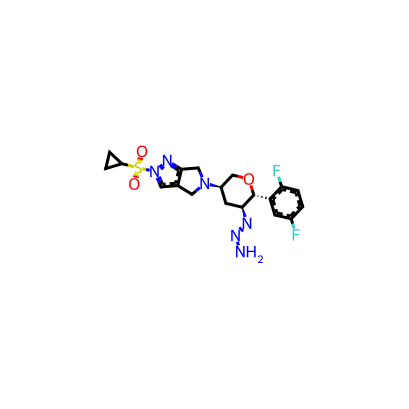 NN=N[C@H]1C[C@@H](N2Cc3cn(S(=O)(=O)C4CC4)nc3C2)CO[C@@H]1c1cc(F)ccc1F